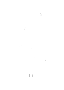 CCOC(=O)C(Br)CC(=O)CBr